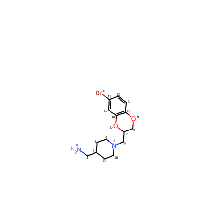 NCC1CCN(CC2COc3ccc(Br)cc3O2)CC1